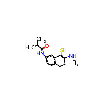 CNC1=C(S)c2cc(NC(=O)C(C)C)ccc2CC1